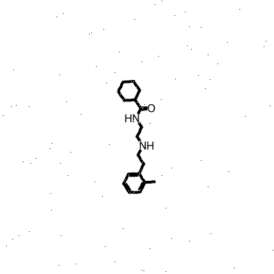 Cc1ccccc1CCNCCNC(=O)C1CCCCC1